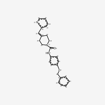 O=C(Nc1ccc(OCc2ccccc2)cc1)N1CCC(=Cc2ccccn2)CC1